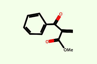 C=C(C(=O)OC)C(=O)c1ccccc1